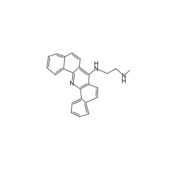 CNCCNc1c2ccc3ccccc3c2nc2c1ccc1ccccc12